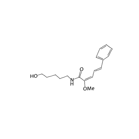 COC(=CC=Cc1ccccc1)C(=O)NCCCCCO